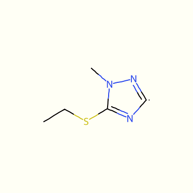 CCSc1n[c]nn1C